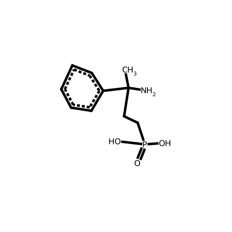 CC(N)(CCP(=O)(O)O)c1ccccc1